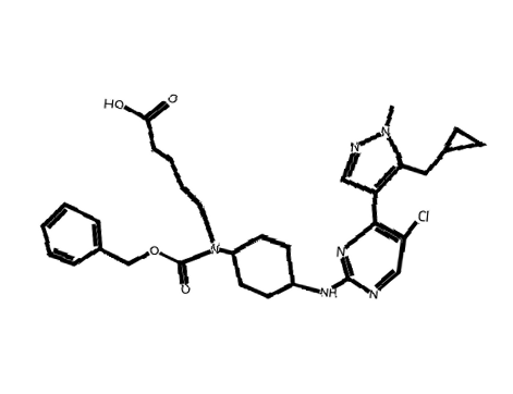 Cn1ncc(-c2nc(NC3CCC(N(CCCCC(=O)O)C(=O)OCc4ccccc4)CC3)ncc2Cl)c1CC1CC1